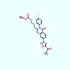 CC(C)(C)OC(=O)CCCCc1nc2cc(-c3cc(C(=O)C4CC4)on3)ccc2c(=O)n1-c1ccc(F)cc1